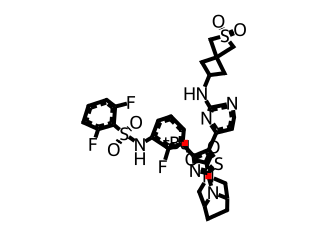 CC(C)(C)OC(=O)N1CC2CCC(C1)N2c1nc(-c2cccc(NS(=O)(=O)c3c(F)cccc3F)c2F)c(-c2ccnc(NC3CC4(C3)CS(=O)(=O)C4)n2)s1